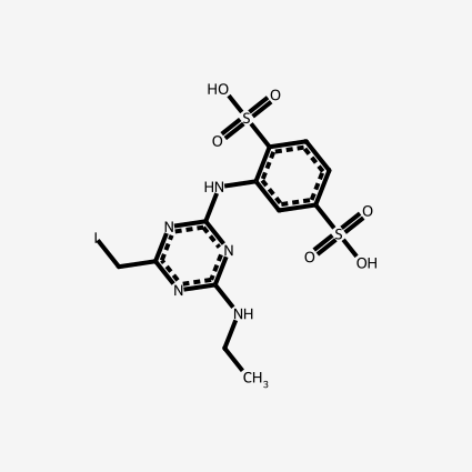 CCNc1nc(CI)nc(Nc2cc(S(=O)(=O)O)ccc2S(=O)(=O)O)n1